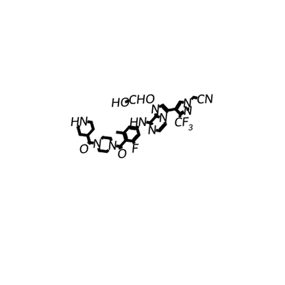 Cc1cc(Nc2nccn3c(-c4cn(CC#N)nc4C(F)(F)F)cnc23)cc(F)c1C(=O)N1CCN(C(=O)C2CCNCC2)CC1.O=CO